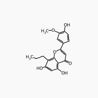 CCCc1c(O)cc(O)c2c(=O)cc(-c3ccc(O)c(OC)c3)oc12